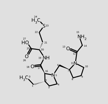 CC[C@H]1CCN(C[C@@H]2CCCN2C(=O)CN)[C@@H]1C(=O)N[C@@H](CCSC)C(=O)O